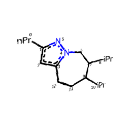 CCCc1cc2n(n1)CC(C(C)C)C(C(C)C)CC2